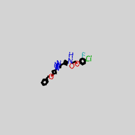 O=C(COc1ccc(Cl)c(F)c1)NC12CC(c3cn(C4CC(OCc5ccccc5)C4)nn3)(C1)C2